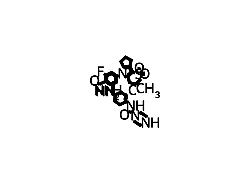 CC1(C)Cc2c(c3c(n2-c2cc(F)c(C(N)=O)c(N[C@H]4CC[C@H](NC(=O)N5CCNCC5)CC4)c2)CCC3)S(=O)(=O)C1